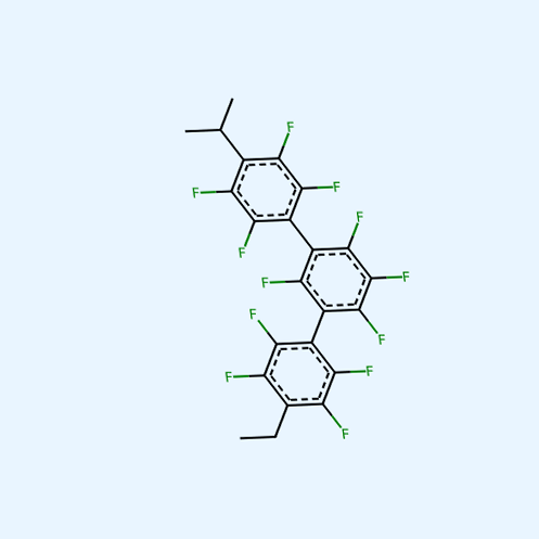 CCc1c(F)c(F)c(-c2c(F)c(F)c(F)c(-c3c(F)c(F)c(C(C)C)c(F)c3F)c2F)c(F)c1F